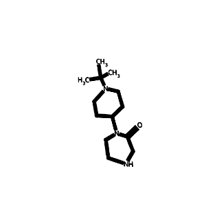 CC(C)(C)N1CCC(N2CCNCC2=O)CC1